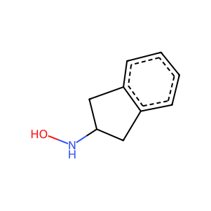 ONC1Cc2ccccc2C1